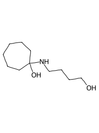 OCCCCNC1(O)CCCCCC1